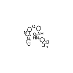 O=C(Nc1cccc(Oc2ccc3ncc(N4CCOCC4)nc3c2)c1)Nc1ccc(Cl)c(C(F)(F)F)c1